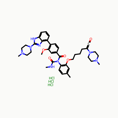 CNC(=O)N(C(=O)c1ccc(-c2cccc3[nH]c(N4CCN(C)CC4)nc23)c(OC)c1)c1ccc(C)cc1OCCCCC(=C=O)N1CCN(C)CC1.Cl.Cl.Cl